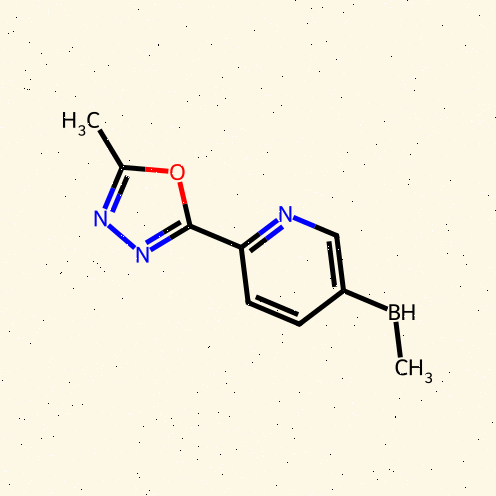 CBc1ccc(-c2nnc(C)o2)nc1